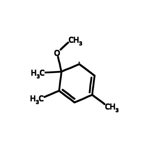 COC1(C)[CH]C=C(C)C=C1C